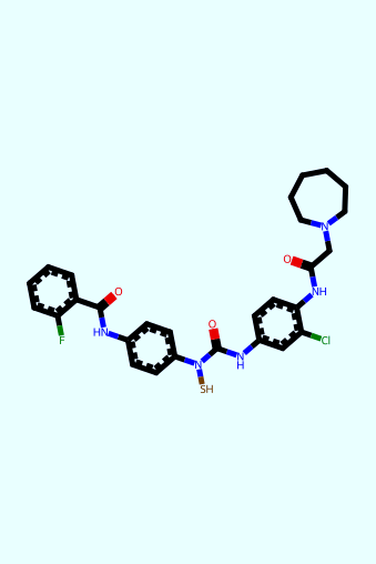 O=C(CN1CCCCCC1)Nc1ccc(NC(=O)N(S)c2ccc(NC(=O)c3ccccc3F)cc2)cc1Cl